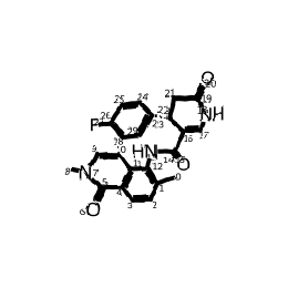 Cc1ccc2c(=O)n(C)ccc2c1NC(=O)C1=CNC(=O)C[C@H]1c1ccc(F)cc1